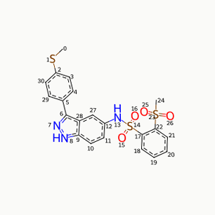 CSc1ccc(-c2n[nH]c3ccc(NS(=O)(=O)c4ccccc4S(C)(=O)=O)cc23)cc1